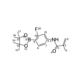 C=C(C)C(=O)Nc1ccc(B2OC(C)(C)C(C)(C)O2)c(F)c1